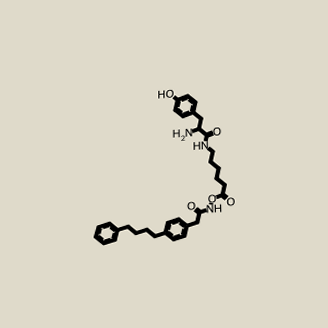 NC(Cc1ccc(O)cc1)C(=O)NCCCCCC(=O)ONC(=O)Cc1ccc(CCCCc2ccccc2)cc1